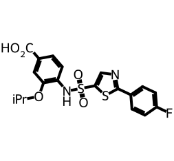 CC(C)Oc1cc(C(=O)O)ccc1NS(=O)(=O)c1cnc(-c2ccc(F)cc2)s1